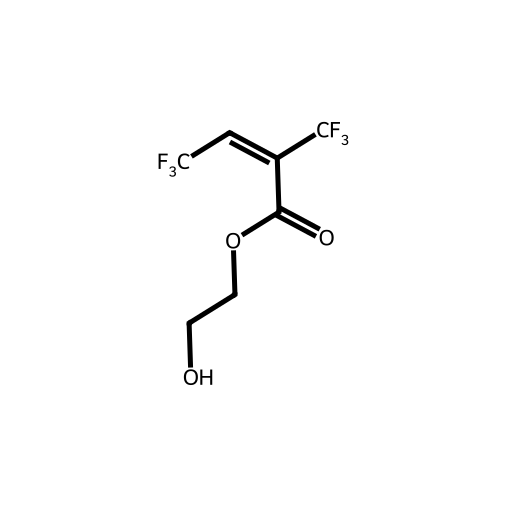 O=C(OCCO)C(=CC(F)(F)F)C(F)(F)F